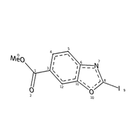 COC(=O)c1ccc2nc(I)oc2c1